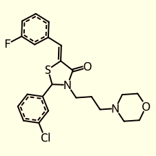 O=C1C(=Cc2cccc(F)c2)SC(c2cccc(Cl)c2)N1CCCN1CCOCC1